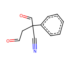 N#CC(C=O)(CC=O)c1ccccc1